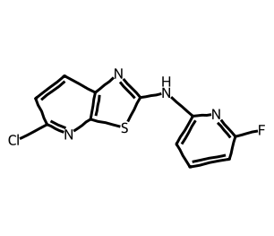 Fc1cccc(Nc2nc3ccc(Cl)nc3s2)n1